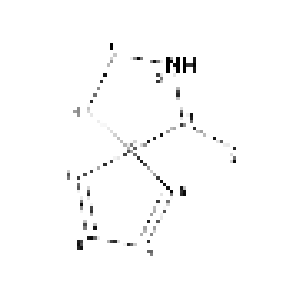 CC1NCCC12C=CC=C2